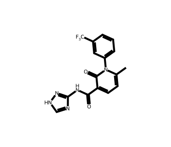 Cc1ccc(C(=O)Nc2nc[nH]n2)c(=O)n1-c1cccc(C(F)(F)F)c1